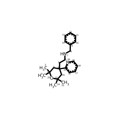 CC1(C)CC(CCNCc2ccccc2)(c2ccccn2)CC(C)(C)O1